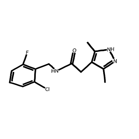 Cc1n[nH]c(C)c1CC(=O)NCc1c(F)cccc1Cl